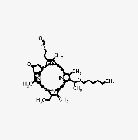 CCCCCCOC(C)c1c(C)c2cc3nc(c4c5[nH]c(cc6nc(cc1[nH]2)C(C)=C6CC)c(C)c5C(=O)C4)C(CCOC=O)=C3C